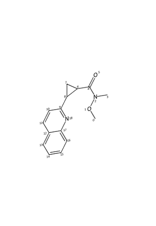 CON(C)C(=O)C1CC1c1ccc2ccccc2n1